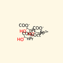 CCCC(O)C(=O)[O-].CCCC(O)C(=O)[O-].CCCC(O)C(=O)[O-].CCCCCCC[CH2][Sn+3]